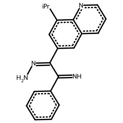 CC(C)c1cc(/C(=N/N)C(=N)c2ccccc2)cc2cccnc12